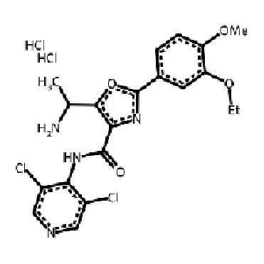 CCOc1cc(-c2nc(C(=O)Nc3c(Cl)cncc3Cl)c(C(C)N)o2)ccc1OC.Cl.Cl